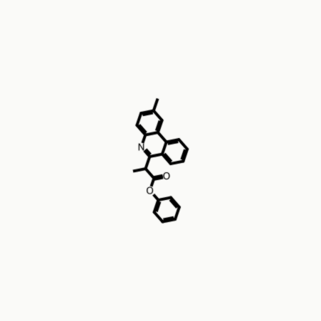 Cc1ccc2nc(C(C)C(=O)Oc3ccccc3)c3ccccc3c2c1